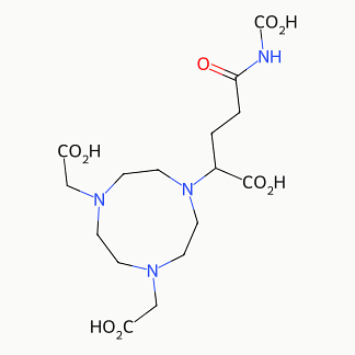 O=C(O)CN1CCN(CC(=O)O)CCN(C(CCC(=O)NC(=O)O)C(=O)O)CC1